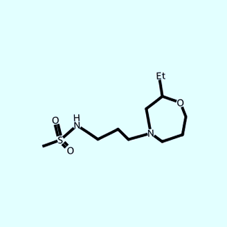 CCC1CN(CCCNS(C)(=O)=O)CCCO1